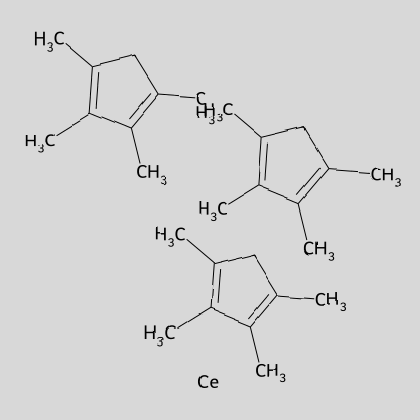 CC1=C(C)C(C)=C(C)C1.CC1=C(C)C(C)=C(C)C1.CC1=C(C)C(C)=C(C)C1.[Ce]